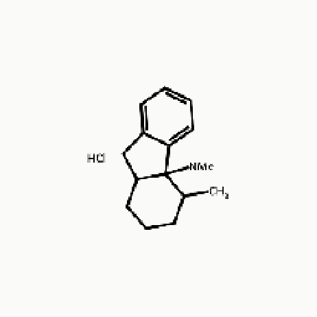 CNC12c3ccccc3CC1CCCC2C.Cl